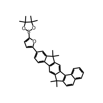 CC1(C)c2cc(-c3ccc(B4OC(C)(C)C(C)(C)O4)o3)ccc2-c2cc3c(cc21)-c1c(ccc2ccccc12)C3(C)C